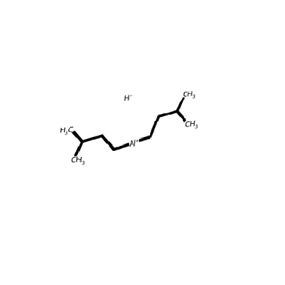 CC(C)C[CH2][Al+][CH2]CC(C)C.[H-]